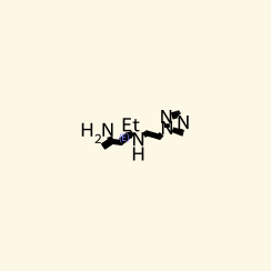 C=C(N)/C=C(\CC)NCCn1cncn1